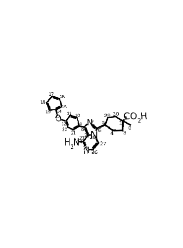 CC1(C(=O)O)CCC(c2nc(-c3ccc(Oc4ccccc4)cc3)c3c(N)nccn23)CC1